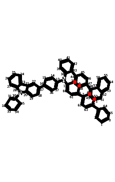 c1ccc(-c2ccc(-c3ccc(N(c4ccc(-c5ccc6c(c5)c5ccccc5n6-c5ccccc5)cc4)c4ccccc4-c4ccc(-c5cccc6ccccc56)cc4)cc3)cc2)cc1